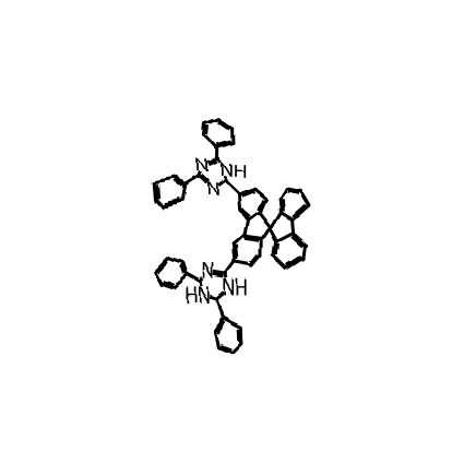 c1ccc(C2=NC(c3ccc4c(c3)-c3cc(C5=NC(c6ccccc6)NC(c6ccccc6)N5)ccc3C43c4ccccc4-c4ccccc43)NC(c3ccccc3)=N2)cc1